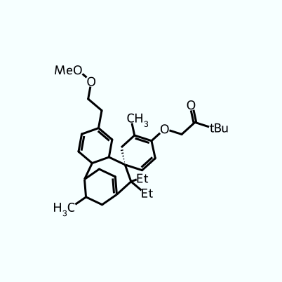 CCC1(CC)C2=CCC(C(C)C2)C2C=CC(CCOOC)=CC2[C@@]12C=CC(OCC(=O)C(C)(C)C)=C(C)C2